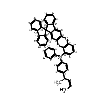 C/C=C\[C@@H](C)c1ccc(N(c2ccccc2)c2cccc3c2Oc2cc4c(cc2O3)-c2ccccc2C42c3ccccc3-c3ccccc32)cc1